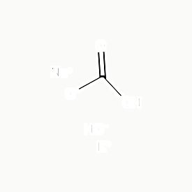 O=C([O-])O.[K+].[Na+].[OH-]